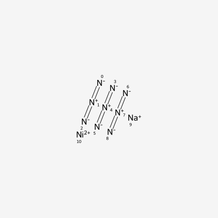 [N-]=[N+]=[N-].[N-]=[N+]=[N-].[N-]=[N+]=[N-].[Na+].[Ni+2]